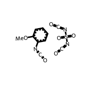 COc1ccccc1N=C=O.O=C=NS(=O)(=O)N=C=O